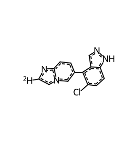 [2H]c1cn2cc(-c3c(Cl)ccc4[nH]ncc34)ccc2n1